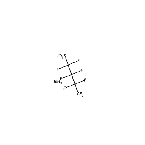 O=S(=O)(O)C(F)(F)C(F)(F)C(F)(F)C(F)(F)F.[InH3]